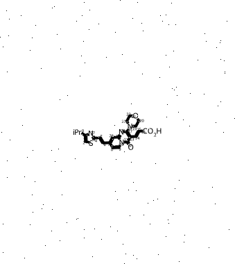 CC(C)c1csc(C=Cc2ccn3c(=O)c(C=CC(=O)O)c(N4CCOCC4)nc3c2)n1